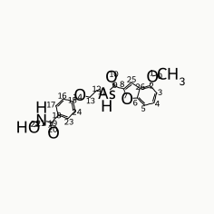 COc1cccc2oc(C(=O)[AsH]CCOc3ccc(C(=O)NO)cc3)cc12